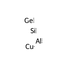 [Al].[Cu].[Ge].[Si]